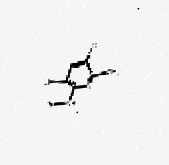 Cc1nc(NC(C)C)c(Cl)cc1Cl